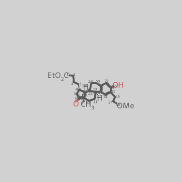 CCOC(=O)CCC[C@@H]1CC(=O)[C@@]2(C)CC[C@@H]3c4cc(CCOC)c(O)cc4CC[C@H]3[C@H]12